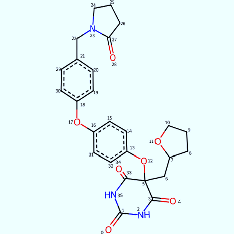 O=C1NC(=O)C(CC2CCCO2)(Oc2ccc(Oc3ccc(CN4CCCC4=O)cc3)cc2)C(=O)N1